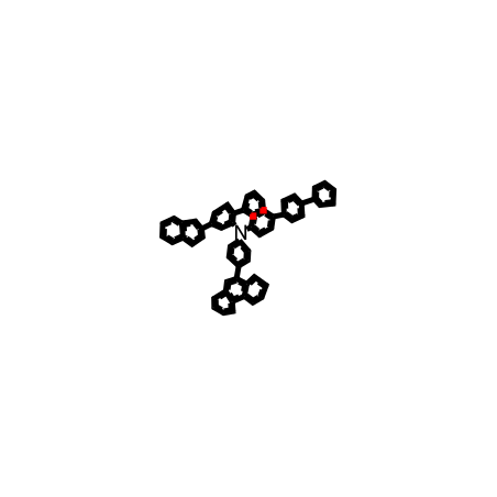 c1ccc(-c2ccc(-c3ccc(N(c4ccc(-c5cc6ccccc6c6ccccc56)cc4)c4cc(-c5ccc6ccccc6c5)ccc4-c4ccccc4)cc3)cc2)cc1